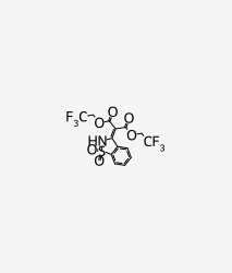 O=C(OCC(F)(F)F)C(C(=O)OCC(F)(F)F)=C1NS(=O)(=O)c2ccccc21